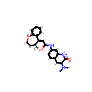 CN(C)C1Cc2ccc(NC(=O)/C=C3/c4ccccc4OCC[C@@H]3C(F)(F)F)cc2NC1=O